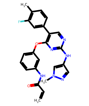 C=CC(=O)Nc1cccc(Oc2nc(Nc3cnn(C)c3)ncc2-c2ccc(C)c(F)c2)c1